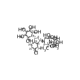 CC1(C)CN([C@@H]2C[C@@H](c3c(O)c(O)c(O)c(O)c3O)c3ccc(Cl)cc32)CC(O)(O)N1C(O)(O)O